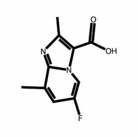 Cc1nc2c(C)cc(F)cn2c1C(=O)O